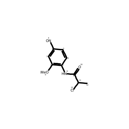 COc1cc(N=O)ccc1NC(=O)C(C)Cl